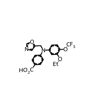 CCOc1cc(N(Cc2cnco2)c2ccc(C(=O)O)cc2)ccc1OC(F)(F)F